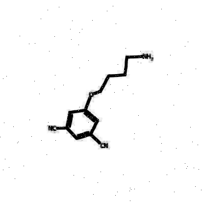 N#Cc1cc(C#N)cc(OCCCCN)c1